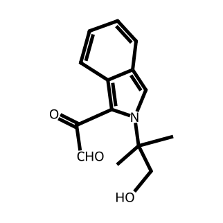 CC(C)(CO)n1cc2ccccc2c1C(=O)C=O